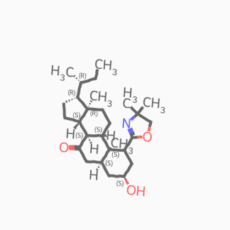 CC[C@@H](C)[C@H]1CC[C@H]2[C@@H]3C(=O)C[C@@H]4C[C@H](O)CC(C5=NC(C)(C)CO5)[C@]4(C)[C@H]3CC[C@]12C